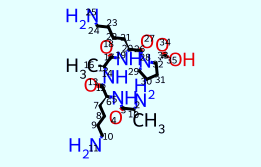 C[C@H](N)C(=O)N[C@@H](CCCCN)C(=O)N[C@@H](C)C(=O)N[C@@H](CCCCN)C(=O)N1CCC[C@H]1C(=O)O